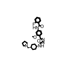 COc1cc(NC(=O)c2ccccc2F)ccc1-c1nnc(N[C@H]2CC[C@H](CN3CCCC3)CC2)o1